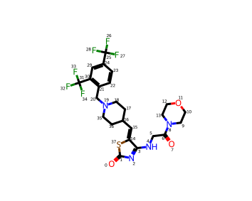 O=C1N=C(NCC(=O)N2CCOCC2)C(=CC2CCN(Cc3ccc(C(F)(F)F)cc3C(F)(F)F)CC2)S1